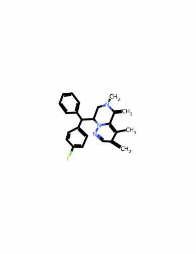 C=C1C=NN2C(=C1C)C(=C)N(C)CC2C(c1ccccc1)c1ccc(F)cc1